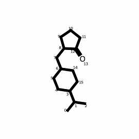 CC(C)C1CCC(CC2CCCC2=O)CC1